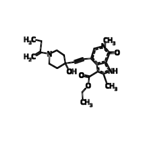 C=C(CC)N1CCC(O)(C#Cc2cn(C)c(=O)c3[nH]c(C)c(C(=O)OCC)c23)CC1